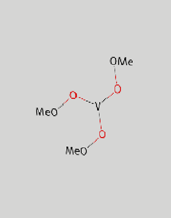 CO[O][V]([O]OC)[O]OC